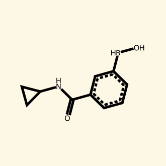 O=C(NC1CC1)c1cccc(BO)c1